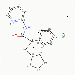 O=C(Nc1ccccn1)C(CC1CCCC1)c1ccc(Cl)cc1